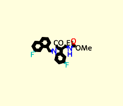 CCOC(=O)c1c(CNC(=O)OC)c2cc(F)ccc2n1Cc1cccc2ccc(F)cc12